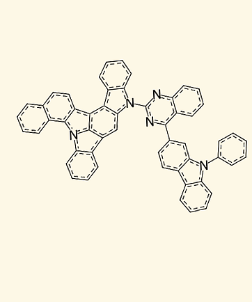 c1ccc(-n2c3ccccc3c3ccc(-c4nc(-n5c6ccccc6c6c7c8ccc9ccccc9c8n8c9ccccc9c(cc65)c78)nc5ccccc45)cc32)cc1